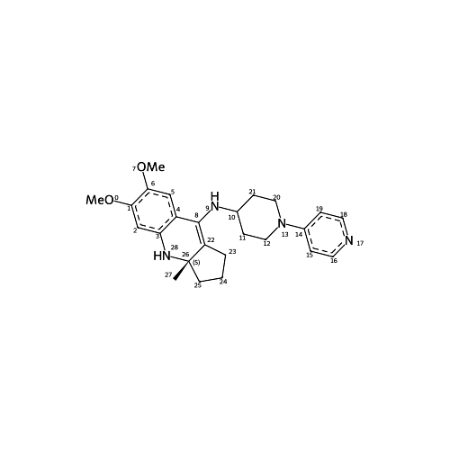 COc1cc2c(cc1OC)C(NC1CCN(c3ccncc3)CC1)=C1CCC[C@]1(C)N2